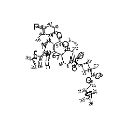 CCOC(=O)C1=C(C2CCN(S(=O)(=O)C3CC(C)(C(=O)OCC[Si](C)(C)C)C3)CC2)NC(c2nccs2)=NC1c1cccc(F)c1C